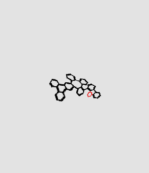 c1ccc2c(c1)-c1cc3c4ccccc4c4ccccc4c3cc1-c1cccc(-c3cccc4c3oc3ccccc34)c1-c1ccccc1-2